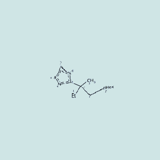 CCCCCCCC(C)(CC)c1ncsn1